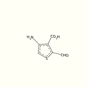 Nc1csc(C=O)c1C(=O)O